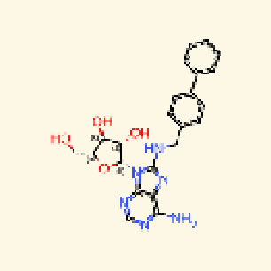 Nc1ncnc2c1nc(NCc1ccc(-c3ccccc3)cc1)n2[C@@H]1O[C@H](CO)[C@@H](O)[C@@H]1O